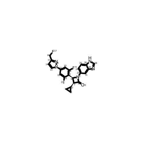 O=C1[C@@H](C2CC2)[C@@H](c2c(F)cc(-n3ccc(CF)n3)cc2I)N1c1ccc2[nH]cnc2c1